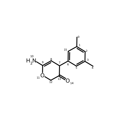 Cc1cc(C)cc(C2C=C(N)OCC2=O)c1